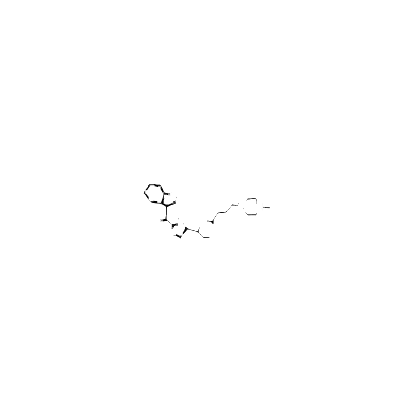 CCC(OC(=O)CCCN1CCN(C)CC1)c1csc(C(=O)c2c[nH]c3cc(F)ccc23)n1